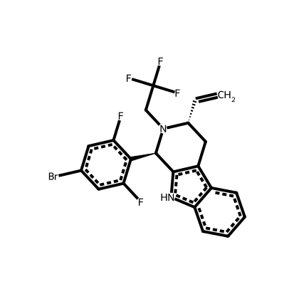 C=C[C@@H]1Cc2c([nH]c3ccccc23)[C@@H](c2c(F)cc(Br)cc2F)N1CC(F)(F)F